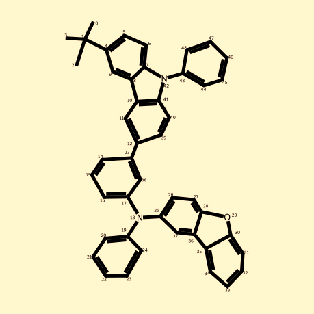 CC(C)(C)c1ccc2c(c1)c1cc(-c3cccc(N(c4ccccc4)c4ccc5oc6ccccc6c5c4)c3)ccc1n2-c1ccccc1